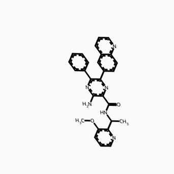 COc1cccnc1C(C)NC(=O)c1nc(-c2ccc3ncccc3c2)c(-c2ccccc2)nc1N